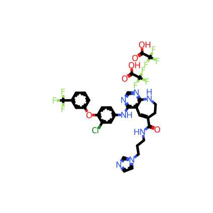 O=C(NCCCn1ccnc1)C1=Cc2c(ncnc2Nc2ccc(Oc3cccc(C(F)(F)F)c3)c(Cl)c2)NCC1.O=C(O)C(F)(F)F.O=C(O)C(F)(F)F